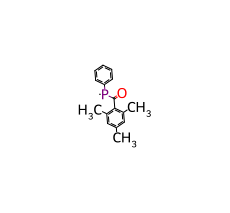 Cc1cc(C)c(C(=O)[P]c2ccccc2)c(C)c1